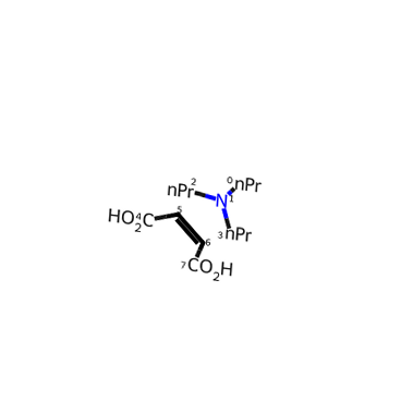 CCCN(CCC)CCC.O=C(O)/C=C\C(=O)O